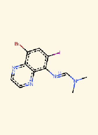 CN(C)/C=N/c1c(I)cc(Br)c2nccnc12